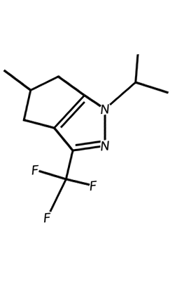 CC1Cc2c(C(F)(F)F)nn(C(C)C)c2C1